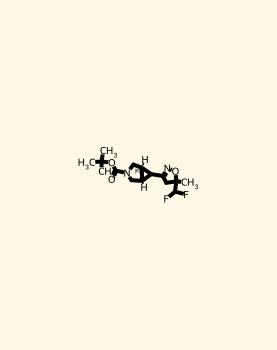 CC(C)(C)OC(=O)N1C[C@@H]2C(C3=NOC(C)(C(F)F)C3)[C@@H]2C1